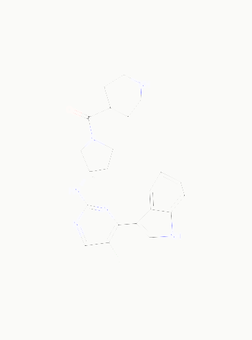 O=C(C1CCNCC1)N1CC[C@H](Nc2ncc(Cl)c(-c3c[nH]c4ccccc34)n2)C1